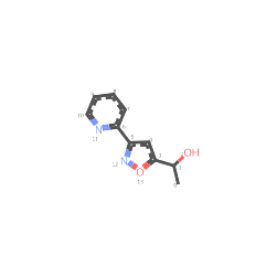 CC(O)c1cc(-c2ccccn2)no1